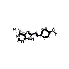 CN(C)c1ccc(/C=C/c2nc3c(N)ncnc3[nH]2)cc1